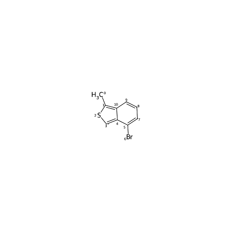 Cc1s[c]c2c(Br)cccc12